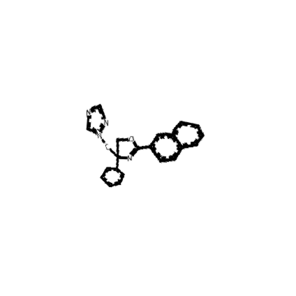 c1ccc(C2(Cn3cncn3)COC(c3ccc4ccccc4c3)=N2)cc1